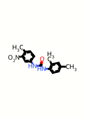 Cc1ccc(NC(=O)Nc2ccc(C)c([N+](=O)[O-])c2)c(C)c1